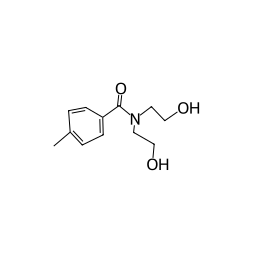 Cc1ccc(C(=O)N(CCO)CCO)cc1